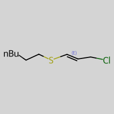 CCCCCCS/C=C/CCl